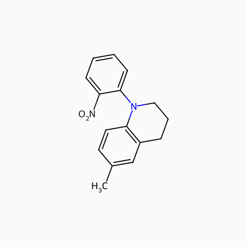 Cc1ccc2c(c1)CCCN2c1ccccc1[N+](=O)[O-]